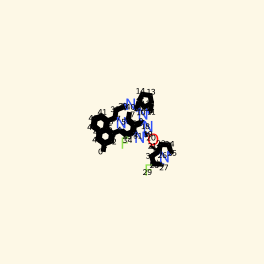 Cc1cc(-c2nc(C)c3c(N4CC5CCC(C5)C4)nc(OC[C@@]45CCCN4C[C@H](F)C5)nc3c2F)c2c(CCC#N)cccc2c1